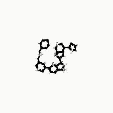 c1ccc(CNCc2cncc(-c3ccc4[nH]nc(-c5cc6c(-c7cccs7)cncc6[nH]5)c4n3)c2)cc1